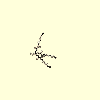 C#CCOCCOCCNC(=O)CCC(N)(CCC(=O)NCCOCCOCC#C)CCC(=O)C(=N)CCOCCOCC#C